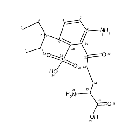 CCN(CC)c1ccc(N)c(C(=O)CCC(N)C(=O)O)c1S(=O)(=O)O